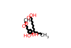 CCCC/C=C\CCCCCCCC(=O)O.CCOC(=O)/C=C/c1ccc(O)c(O)c1